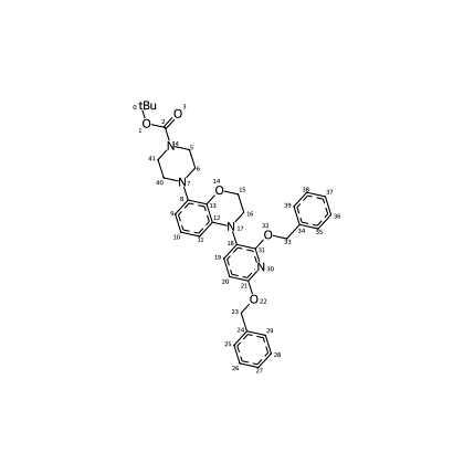 CC(C)(C)OC(=O)N1CCN(c2cccc3c2OCCN3c2ccc(OCc3ccccc3)nc2OCc2ccccc2)CC1